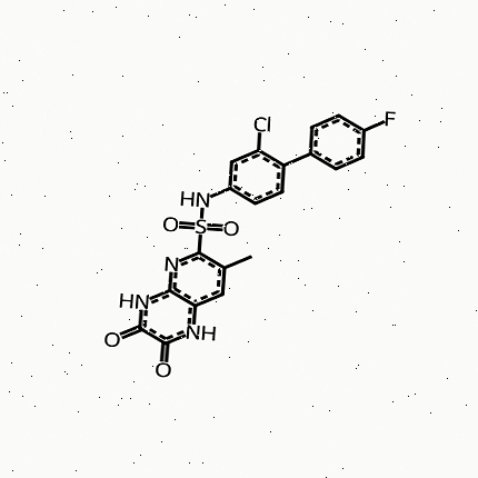 Cc1cc2[nH]c(=O)c(=O)[nH]c2nc1S(=O)(=O)Nc1ccc(-c2ccc(F)cc2)c(Cl)c1